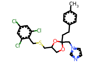 Cc1ccc(CCC2(Cn3ccnc3)OCC(CSCc3c(Cl)cc(Cl)cc3Cl)O2)cc1